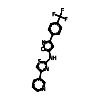 FC(F)(F)c1ccc(-c2cc(Nc3nc(-c4cccnc4)cs3)on2)cc1